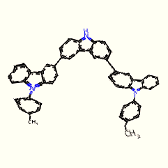 Cc1ccc(-n2c3ccccc3c3cc(-c4ccc5[nH]c6ccc(-c7ccc8c(c7)c7ccccc7n8-c7ccc(C)cc7)cc6c5c4)ccc32)cc1